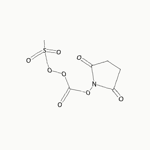 CS(=O)(=O)OOC(=O)ON1C(=O)CCC1=O